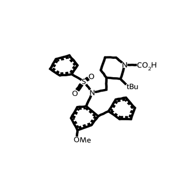 COc1ccc(N(CC2CCCN(C(=O)O)C2C(C)(C)C)S(=O)(=O)c2ccccc2)c(-c2ccccc2)c1